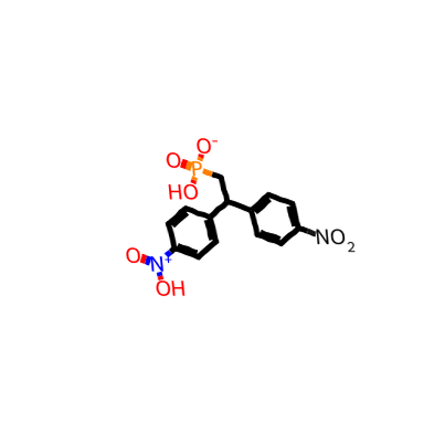 O=[N+]([O-])c1ccc(C(CP(=O)([O-])O)c2ccc([N+](=O)O)cc2)cc1